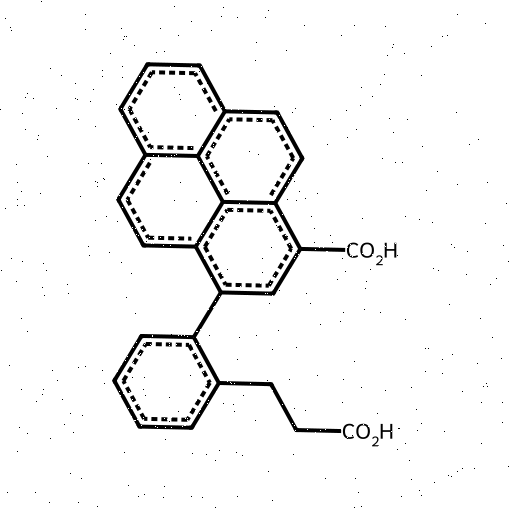 O=C(O)CCc1ccccc1-c1cc(C(=O)O)c2ccc3cccc4ccc1c2c34